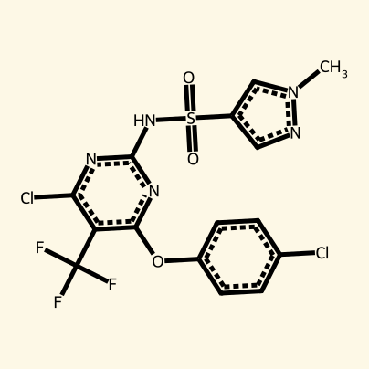 Cn1cc(S(=O)(=O)Nc2nc(Cl)c(C(F)(F)F)c(Oc3ccc(Cl)cc3)n2)cn1